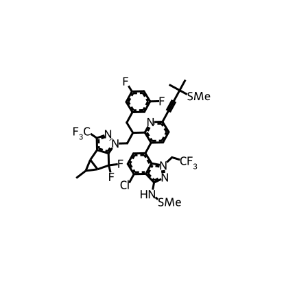 CSNc1nn(CC(F)(F)F)c2c(-c3ccc(C#CC(C)(C)SC)nc3C(Cc3cc(F)cc(F)c3)Cn3nc(C(F)(F)F)c4c3C(F)(F)C3C(C)C43)ccc(Cl)c12